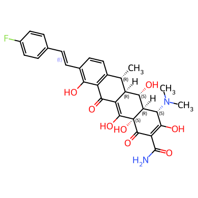 C[C@H]1c2ccc(/C=C/c3ccc(F)cc3)c(O)c2C(=O)C2=C(O)[C@]3(O)C(=O)C(C(N)=O)=C(O)[C@@H](N(C)C)[C@@H]3[C@@H](O)[C@@H]21